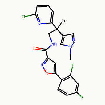 CCC(CNC(=O)c1cc(-c2ccc(F)cc2F)on1)(c1cnn(C)c1)c1cccc(Cl)n1